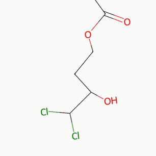 CC(=O)OCCC(O)C(Cl)Cl